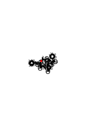 CC(C)[C@@H](CS)OC(=O)[C@@H]1CCCC[C@@H]1C(=O)NSC1CC(=O)N(CCC(=O)C(=O)OCc2ccccc2)C1=O